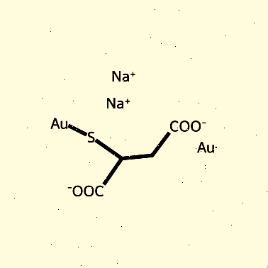 O=C([O-])CC([S][Au])C(=O)[O-].[Au].[Na+].[Na+]